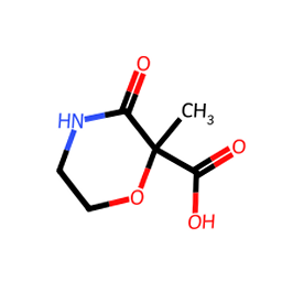 CC1(C(=O)O)OCCNC1=O